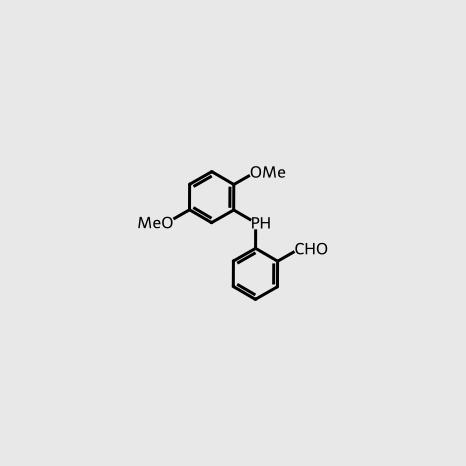 COc1ccc(OC)c(Pc2ccccc2C=O)c1